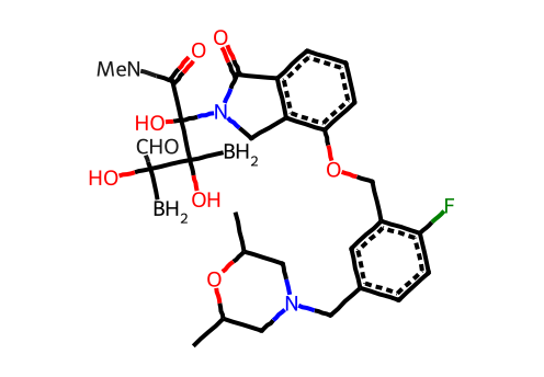 BC(O)(C=O)C(B)(O)C(O)(C(=O)NC)N1Cc2c(OCc3cc(CN4CC(C)OC(C)C4)ccc3F)cccc2C1=O